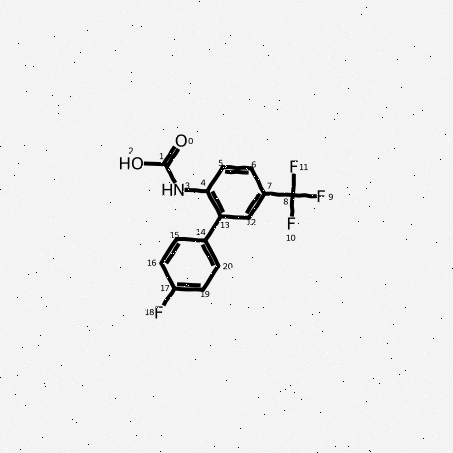 O=C(O)Nc1ccc(C(F)(F)F)cc1-c1ccc(F)cc1